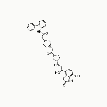 O=C(Nc1ccccc1-c1ccccc1)OC1CCN(CC(=O)N2CCC(NCC(O)c3ccc(O)c4[nH]c(=O)sc34)C2)CC1